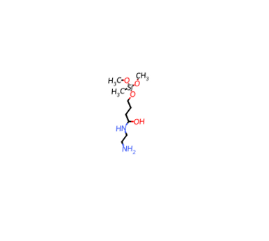 CO[Si](C)(OC)OCCCC(O)NCCN